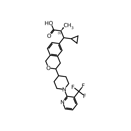 C[C@H](C(=O)O)C(c1ccc2c(c1)CC(C1CCN(c3ncccc3C(F)(F)F)CC1)OC2)C1CC1